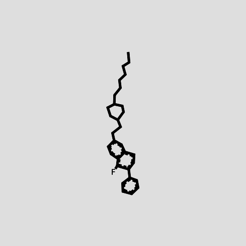 CCCCCCCC1CCC(CCc2ccc3c(F)c(-c4ccccc4)ccc3c2)CC1